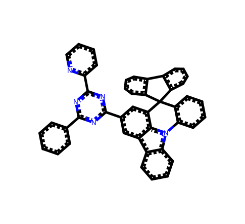 c1ccc(-c2nc(-c3cc4c5c(c3)c3ccccc3n5-c3ccccc3C43c4ccccc4-c4ccccc43)nc(-c3ccccn3)n2)cc1